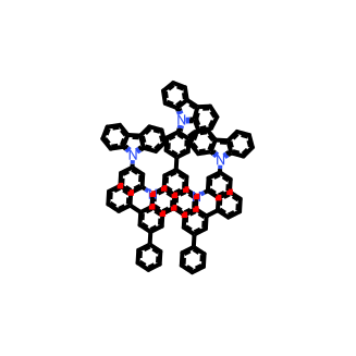 c1ccc(-c2cc(-c3ccccc3)c(N(c3cc(-c4ccc5c(c4)c4cccc6c7ccccc7n5c64)cc(N(c4cccc(-n5c6ccccc6c6ccccc65)c4)c4c(-c5ccccc5)cc(-c5ccccc5)cc4-c4ccccc4)c3)c3cccc(-n4c5ccccc5c5ccccc54)c3)c(-c3ccccc3)c2)cc1